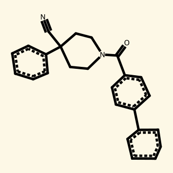 N#CC1(c2ccccc2)CCN(C(=O)c2ccc(-c3ccccc3)cc2)CC1